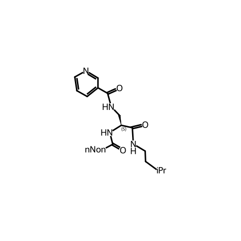 CCCCCCCCCC(=O)N[C@@H](CNC(=O)c1cccnc1)C(=O)NCCC(C)C